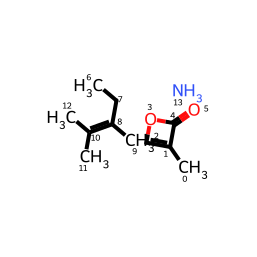 CC1=COC1=O.CCC(C)=C(C)C.N